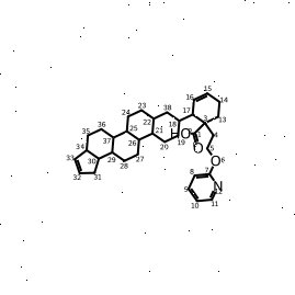 O=C(O)C1(CCOc2ccccn2)CCC=CC1C1CCC2C(CCC3C2CCC2C4CC=CC4CCC23)C1